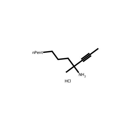 CC#CC(C)(N)CCCCCCCC.Cl